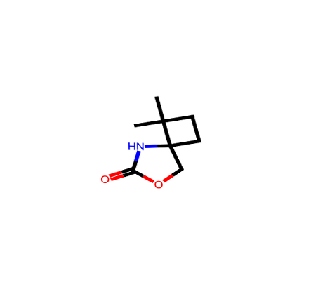 CC1(C)CCC12COC(=O)N2